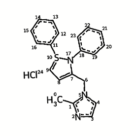 Cc1nccn1CC1=CC=S(c2ccccc2)N1c1ccccc1.Cl